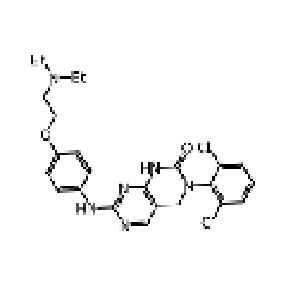 CCN(CC)CCOc1ccc(Nc2ncc3c(n2)NC(=O)N(c2c(Cl)cccc2Cl)C3)cc1